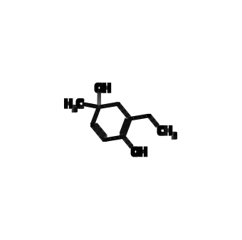 CCC1=C(O)C=CC(C)(O)C1